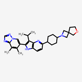 Cc1c(-c2[nH]c3ccc(C4CCC(N5CC6(CCOC6)C5)CC4)nc3c2C(C)C)cn2ncnc2c1C